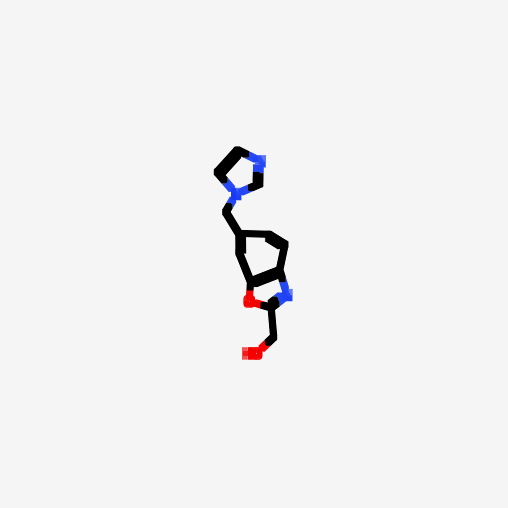 OCc1nc2ccc(Cn3ccnc3)cc2o1